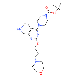 CC(C)(C)OC(=O)N1CCN(c2nc(OCCCN3CCOCC3)nc3c2CCNC3)CC1